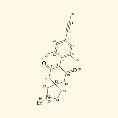 CC#Cc1cc(C)c(C2C(=O)CC3(CCN(CC)C3)CC2=O)c(C)c1